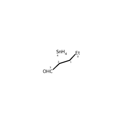 CCCCC=O.[SnH4]